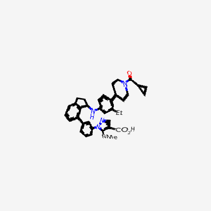 CCc1cc(NC2CCc3cccc(-c4cccc(-n5ncc(C(=O)O)c5NC)c4)c32)ccc1C1CCN(C(=O)C2CC2)CC1